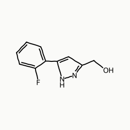 OCc1cc(-c2ccccc2F)[nH]n1